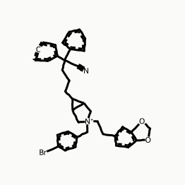 N#CC(CCCC1C2C[N+](CCc3ccc4c(c3)OCO4)(Cc3ccc(Br)cc3)CC12)(c1ccccc1)c1ccccc1